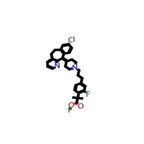 CC(C)(C(=O)OF)c1ccc(CCCN2CCC(=C3c4ccc(Cl)cc4CCc4cccnc43)CC2)cc1F